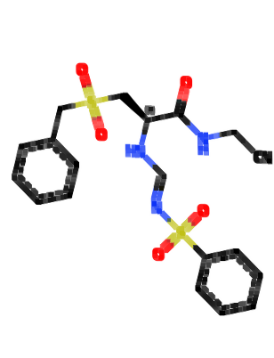 N#CCNC(=O)[C@H](CS(=O)(=O)Cc1ccccc1)NC=NS(=O)(=O)c1ccccc1